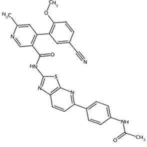 COc1ccc(C#N)cc1-c1cc(C)ncc1C(=O)Nc1nc2ccc(-c3ccc(NC(C)=O)cc3)nc2s1